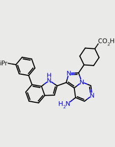 CC(C)c1cccc(-c2cccc3cc(-c4nc(C5CCC(C(=O)O)CC5)n5cncc(N)c45)[nH]c23)c1